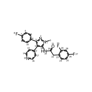 Cn1nc(-c2ccc(F)cc2)c(-c2ccncc2)c1NC(=O)Cc1ccc(F)cc1F